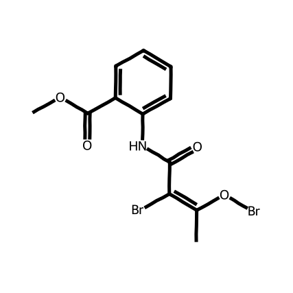 COC(=O)c1ccccc1NC(=O)C(Br)=C(C)OBr